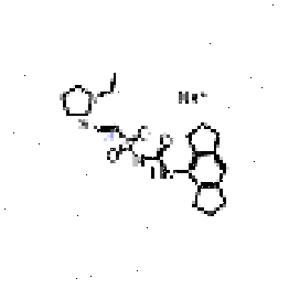 CCN1CCC[C@H]1/C=C/S(=O)(=O)[N-]C(=O)Nc1c2c(cc3c1CCC3)CCC2.[Na+]